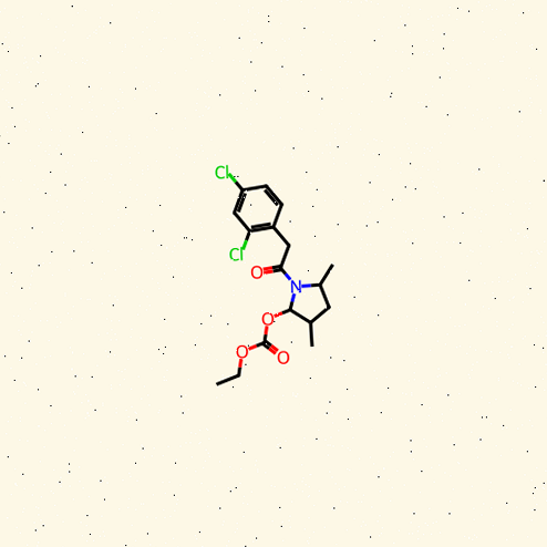 CCOC(=O)OC1C(C)CC(C)N1C(=O)Cc1ccc(Cl)cc1Cl